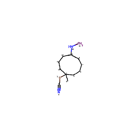 CC1(SC#N)CCCCC(NP)CCC1